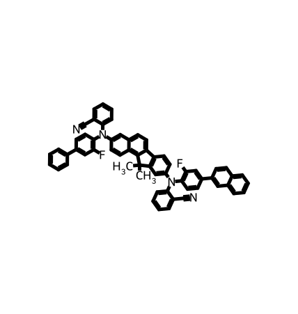 CC1(C)c2cc(N(c3ccc(-c4ccc5ccccc5c4)cc3F)c3ccccc3C#N)ccc2-c2ccc3cc(N(c4ccc(-c5ccccc5)cc4F)c4ccccc4C#N)ccc3c21